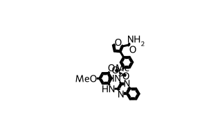 COc1cc(Nc2nc3ccccc3nc2NS(=O)(=O)c2cccc(-c3ccoc3C(N)=O)c2)cc(OC)c1